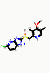 COc1c(C)cnc(C[S+]([O-])c2nc3nc(Cl)ccc3[nH]2)c1C